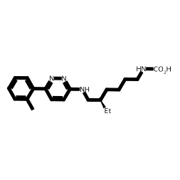 CC[C@H](CCCCNC(=O)O)CNc1ccc(-c2ccccc2C)nn1